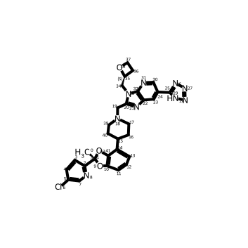 C[C@]1(c2ccc(Cl)cn2)Oc2cccc(C3CCN(Cc4nc5cc(-c6nnn[nH]6)cnc5n4C[C@@H]4CCO4)CC3)c2O1